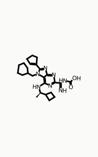 C[C@@H](Nc1nc(C(=N)NC(=O)O)nc2nc(C3=CCCC3)n(CC3CCCCC3)c12)C1CCC1